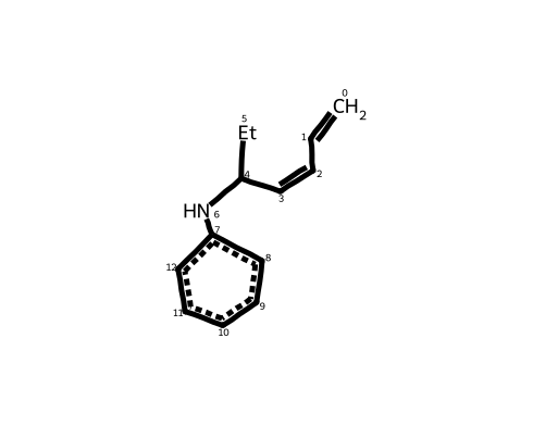 C=C/C=C\C(CC)Nc1ccccc1